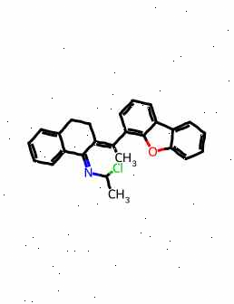 C/C(=C1/CCc2ccccc2/C1=N/C(C)Cl)c1cccc2c1oc1ccccc12